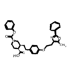 Cc1oc(-c2ccccc2)nc1CCOc1ccc(CC[C@@H]2CN(C(=O)Oc3ccccc3)CC[C@@H]2C(=O)O)cc1